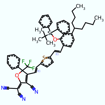 CCCCC(CCCC)c1ccc(/C=C/c2ccc(/C=C/C3=C(C#N)C(=C(C#N)C#N)OC3(c3ccccc3)C(F)(F)F)s2)c(O[Si](c2ccccc2)(c2ccccc2)C(C)(C)C)c1